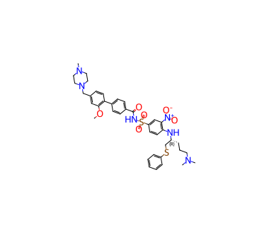 COc1cc(CN2CCN(C)CC2)ccc1-c1ccc(C(=O)NS(=O)(=O)c2ccc(N[C@H](CCCN(C)C)CSc3ccccc3)c([N+](=O)[O-])c2)cc1